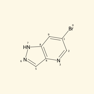 Brc1cnc2cn[nH]c2c1